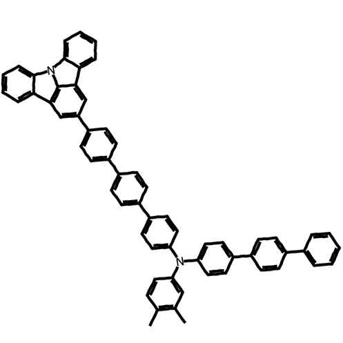 Cc1ccc(N(c2ccc(-c3ccc(-c4ccccc4)cc3)cc2)c2ccc(-c3ccc(-c4ccc(-c5cc6c7ccccc7n7c8ccccc8c(c5)c67)cc4)cc3)cc2)cc1C